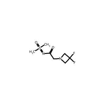 CS(C)(=O)=NC(=O)CN1CC(F)(F)C1